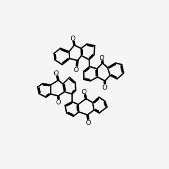 O=C1c2ccccc2C(=O)c2c1cccc2-c1cccc2c1C(=O)c1ccccc1C2=O.O=C1c2ccccc2C(=O)c2c1cccc2-c1cccc2c1C(=O)c1ccccc1C2=O